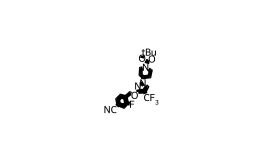 CC(C)(C)OC(=O)N1CCC(n2cc(C(F)(F)F)c(OCc3ccc(C#N)cc3F)n2)CC1